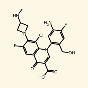 CNC1CN(c2c(F)cc3c(=O)c(C(=O)O)cn(-c4cc(N)c(F)cc4CO)c3c2Cl)C1